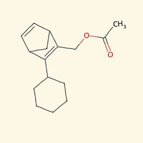 CC(=O)OCC1=C(C2CCCCC2)C2C=CC1C2